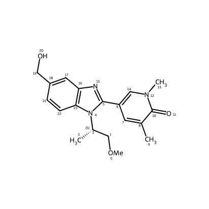 COC[C@H](C)n1c(-c2cc(C)c(=O)n(C)c2)nc2cc(CO)ccc21